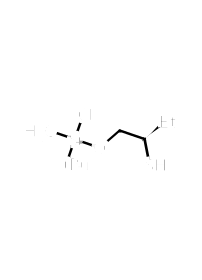 CC[C@@H](S)CO[Si](C)(C)C(C)(C)C